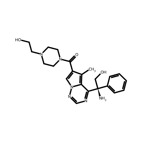 Cc1c(C(=O)N2CCN(CCO)CC2)cn2ncnc([C@](N)(CO)c3ccccc3)c12